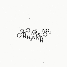 Nc1nc(Nc2cc[c]c([N+](=O)[O-])c2)sc1-c1nc(-c2cccc(NC(=O)c3ccccc3)c2)cs1